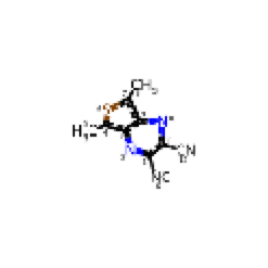 [C-]#[N+]c1nc2c(C)sc(C)c2nc1C#N